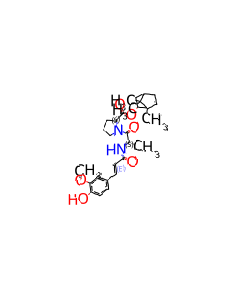 COc1cc(/C=C/C(=O)N[C@@H](C)C(=O)N2CCC[C@H]2C(=O)OC2CC3CCC2(C)C3(C)C)ccc1O